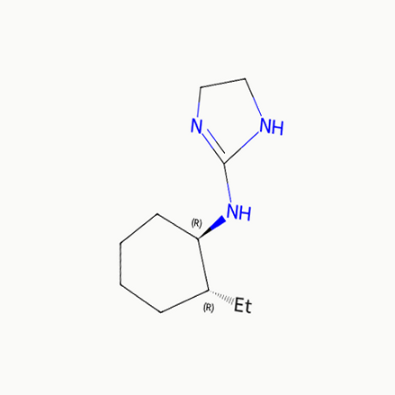 CC[C@@H]1CCCC[C@H]1NC1=NCCN1